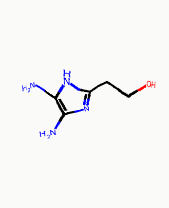 Nc1nc(CCO)[nH]c1N